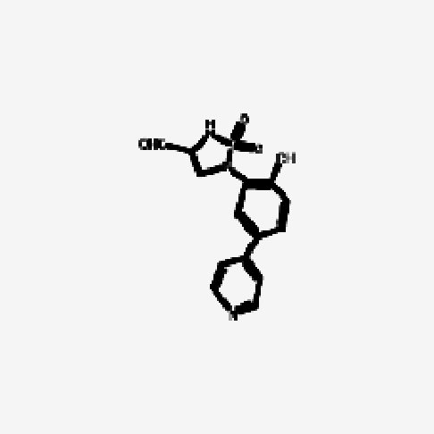 O=CC1CN(c2cc(-c3ccncc3)ccc2O)S(=O)(=O)N1